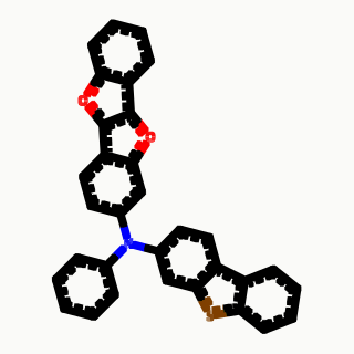 c1ccc(N(c2ccc3c(c2)oc2c4ccccc4oc32)c2ccc3c(c2)sc2ccccc23)cc1